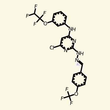 FC(F)C(F)(F)Oc1cccc(Nc2cc(Cl)nc(N/N=C/c3ccc(OC(F)(F)F)cc3)n2)c1